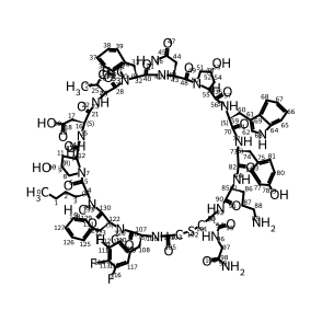 CCCC[C@H]1C(=O)N2C[C@H](O)C[C@@H]2C(=O)N[C@@H](CC(=O)O)C(=O)N[C@@H](C(C)C)C(=O)N(C)[C@@H](Cc2ccccc2)C(=O)N[C@@H](CC(N)=O)C(=O)N2C[C@H](O)C[C@H]2C(=O)N[C@@H](Cc2c[nH]c3ccccc23)C(=O)N[C@@H](Cc2ccc(O)cc2)C(=O)N[C@@H](CCCN)C(=O)N[C@H](C(=O)NCC(N)=O)CSCC(=O)N[C@@H](Cc2cc(F)c(F)c(F)c2)C(=O)N(C)[C@@H](Cc2ccccc2)C(=O)N1C